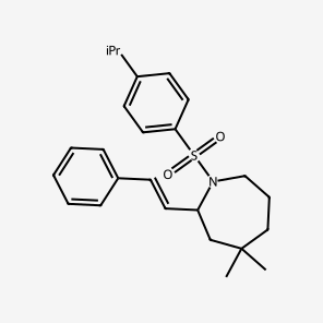 CC(C)c1ccc(S(=O)(=O)N2CCCC(C)(C)CC2C=Cc2ccccc2)cc1